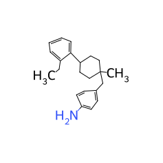 CCc1ccccc1C1CCC(C)(Cc2ccc(N)cc2)CC1